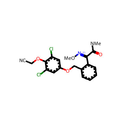 CNC(=O)/C(=N/OC)c1ccccc1COc1cc(Cl)c(OCC#N)c(Cl)c1